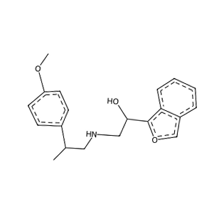 COc1ccc(C(C)CNCC(O)c2occ3ccccc23)cc1